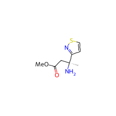 COC(=O)C[C@](C)(N)c1ccsn1